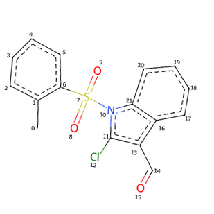 Cc1ccccc1S(=O)(=O)n1c(Cl)c(C=O)c2ccccc21